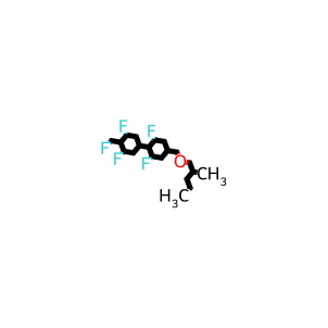 CCCC(C)COCC1CC(F)C(C2CC(F)C(CF)C(F)C2)C(F)C1